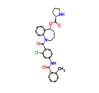 Cc1ccccc1C(=O)Nc1ccc(C(=O)N2CCCC(OC(=O)[C@H]3CCCN3)c3ccccc32)c(Cl)c1